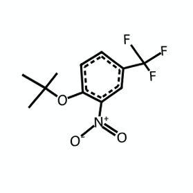 CC(C)(C)Oc1ccc(C(F)(F)F)cc1[N+](=O)[O-]